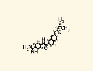 CC(C)OC(=O)CC1CCc2ccc(C(=O)Nc3ccc(C(=N)N)cc3)cc2C1